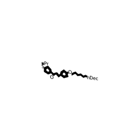 CCCCCCCCCCCCCCCCOc1ccc(C=CC(=O)c2ccc(SCCC)cc2)cc1